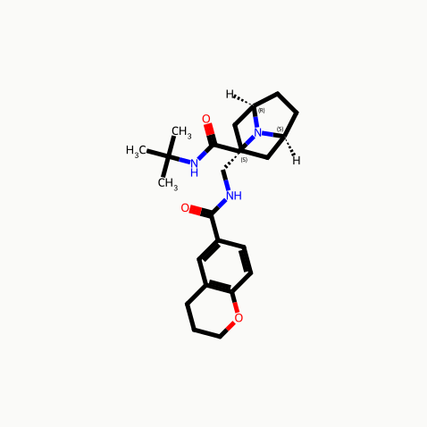 CC(C)(C)NC(=O)CN1[C@@H]2CC[C@H]1C[C@H](CNC(=O)c1ccc3c(c1)CCCO3)C2